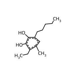 CCCCCc1cc(C)c(CC)c(O)c1O